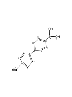 CC(C)(C)c1ccc(-c2ccc(B(O)O)nc2)cc1